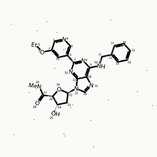 CCOc1cncc(-c2nc(NCc3ccccc3)c3ncn([C@H]4C[C@H](O)[C@@H](C(=O)NC)O4)c3n2)c1